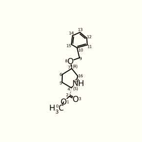 COC(=O)[C@@H]1CC[C@@H](OCc2ccccc2)CN1